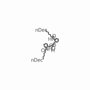 CCCCCCCCCCCCCCCC(=O)Nc1ccccc1CO[PH](=O)OCc1ccccc1NC(=O)CCCCCCCCCCCCCCC